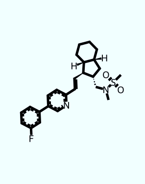 CN(C[C@H]1C[C@H]2CCCC[C@H]2[C@@H]1C=Cc1ccc(-c2cccc(F)c2)cn1)S(C)(=O)=O